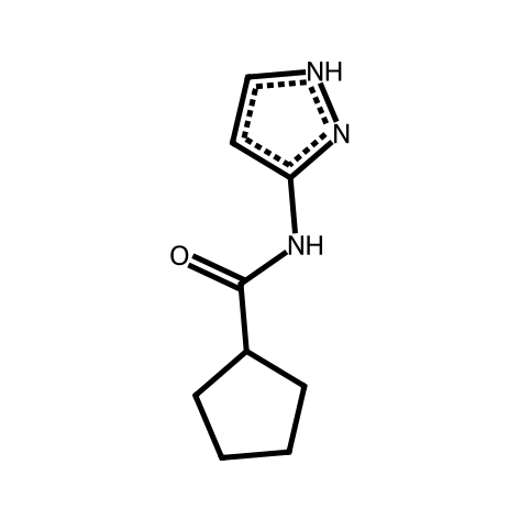 O=C(Nc1cc[nH]n1)C1CCCC1